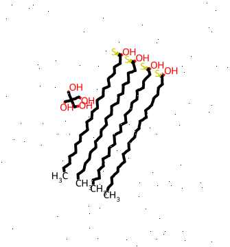 CCCCCCCCCCCCCCCCCCCCCC(O)=S.CCCCCCCCCCCCCCCCCCCCCC(O)=S.CCCCCCCCCCCCCCCCCCCCCC(O)=S.CCCCCCCCCCCCCCCCCCCCCC(O)=S.OCC(CO)(CO)CO